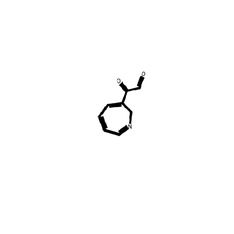 O=CC(=O)C1=CC=CC=NC1